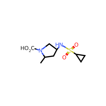 CC1CC(NS(=O)(=O)C2CC2)CN1C(=O)O